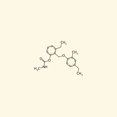 CCc1ccc(OCc2c(CC)cccc2OC(=O)NC)c(C)c1